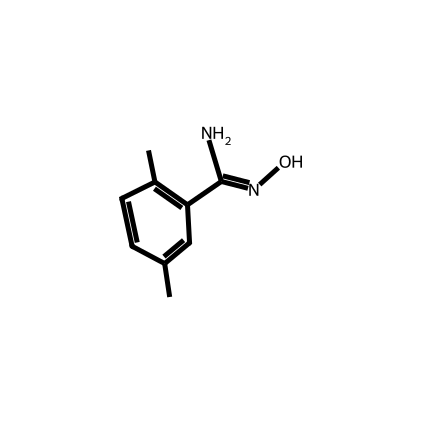 Cc1ccc(C)c(/C(N)=N/O)c1